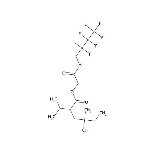 CCC(C)(C)CC(C(=O)OCC(=O)OCC(F)(F)C(F)(F)C(F)(F)F)C(C)C